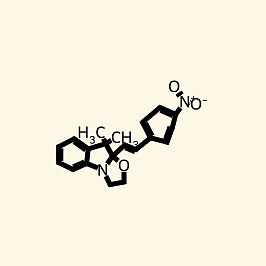 CC1(C)c2ccccc2N2CCOC21C=Cc1ccc([N+](=O)[O-])cc1